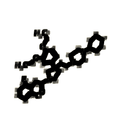 CCOc1ccc(C2(CCN3CCN(C4CCCCC4)CC3)CCN(C(=O)Cc3c(F)cccc3Cl)C2)cc1OCC